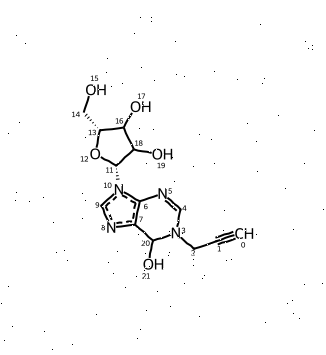 C#CCN1C=Nc2c(ncn2[C@@H]2O[C@H](CO)C(O)C2O)C1O